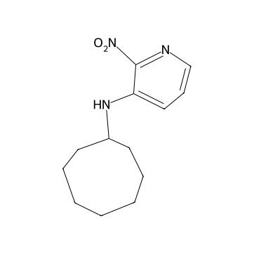 O=[N+]([O-])c1ncccc1NC1CCCCCCC1